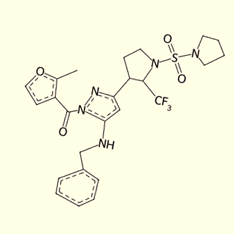 Cc1occc1C(=O)n1nc(C2CCN(S(=O)(=O)N3CCCC3)C2C(F)(F)F)cc1NCc1ccccc1